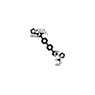 CC(C)(C)OC(=O)N1CCC[C@H]1c1ncc(-c2ccc(-c3ccc(-c4[nH]c([C@@]5(C(C)(C)C)CCCN5C(=O)O)nc4C(F)(F)F)cc3)cc2)[nH]1